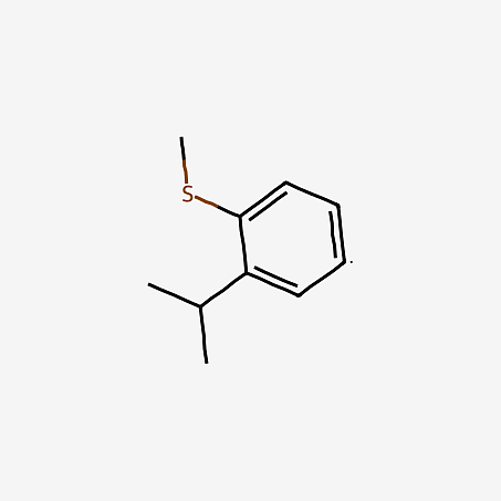 CSc1cc[c]cc1C(C)C